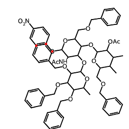 CC(=O)NC1C(Oc2ccc([N+](=O)[O-])cc2)OC(COCc2ccccc2)C(OC2OC(COCc3ccccc3)C(C)C(C)C2OC(C)=O)C1OC1OC(C)C(OCc2ccccc2)C(OCc2ccccc2)C1OCc1ccccc1